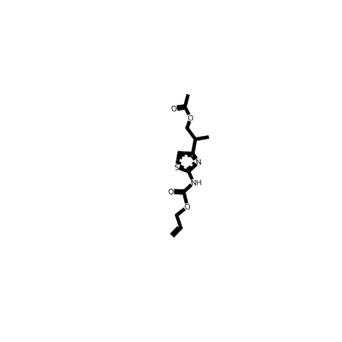 C=CCOC(=O)Nc1nc(C(C)COC(C)=O)cs1